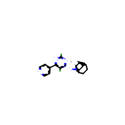 CCOC(=O)[C@H]1C2CCC(CC2)[C@@H]1Nc1nc(Cl)nc(-c2ccncc2)c1F